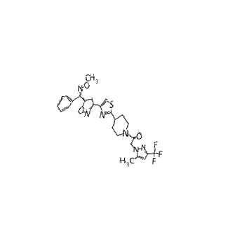 CON=C(c1ccccc1)C1CC(c2csc(C3CCN(C(=O)Cn4nc(C(F)(F)F)cc4C)CC3)n2)=NO1